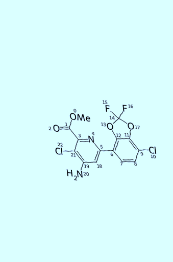 COC(=O)c1nc(-c2ccc(Cl)c3c2OC(F)(F)O3)cc(N)c1Cl